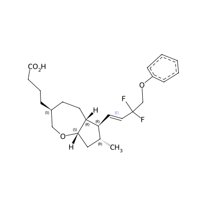 C[C@@H]1C[C@@H]2OC[C@@H](CCCC(=O)O)CC[C@@H]2[C@H]1/C=C/C(F)(F)COc1ccccc1